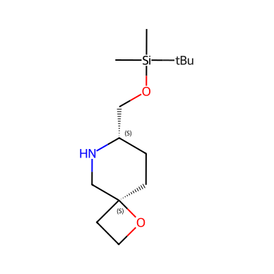 CC(C)(C)[Si](C)(C)OC[C@@H]1CC[C@]2(CCO2)CN1